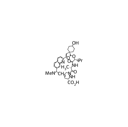 CN[C@H](C)c1ccc2ccc(/C=C/[C@]3(C(=O)O[C@H](C(=O)N[C@@H](C)C(=O)N4CCC[C@@H](C(=O)O)N4)C(C)C)CC[C@@H](O)CC3)nc2c1